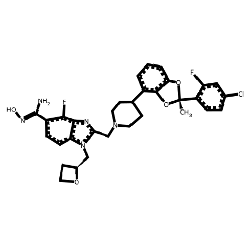 C[C@]1(c2ccc(Cl)cc2F)Oc2cccc(C3CCN(Cc4nc5c(F)c(/C(N)=N/O)ccc5n4C[C@@H]4CCO4)CC3)c2O1